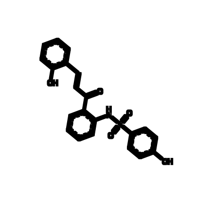 O=C(/C=C/c1ccccc1O)c1ccccc1NS(=O)(=O)c1ccc(O)cc1